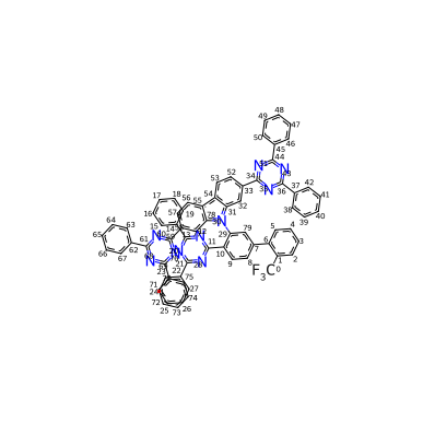 FC(F)(F)c1ccccc1-c1ccc(-c2nc(-c3ccccc3)nc(-c3ccccc3)n2)c(-n2c3cc(-c4nc(-c5ccccc5)nc(-c5ccccc5)n4)ccc3c3ccc(-c4nc(-c5ccccc5)nc(-c5ccccc5)n4)cc32)c1